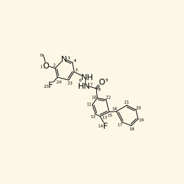 COc1ncc(NNC(=O)c2ccc(F)c(-c3ccccc3)c2)cc1F